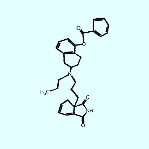 CCCN(CCCC12CC=CC=C1C(=O)NC2=O)C1CCc2c(cccc2OC(=O)c2ccccc2)C1